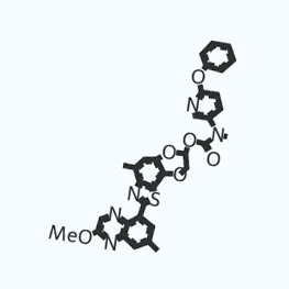 COc1cnc2c(-c3nc4c(C)cc5c(c4s3)OCC(OC(=O)N(C)c3ccc(Oc4ccccc4)nc3)O5)cc(C)cc2n1